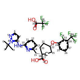 CC(C)(C)n1nccc1Nc1cccc(C[C@]2(C(=O)O)CC[C@H](Oc3cccc(C(F)(F)F)c3F)CC2)n1.O=C(O)C(F)(F)F